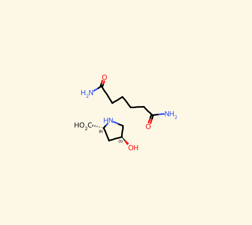 NC(=O)CCCCC(N)=O.O=C(O)[C@H]1C[C@H](O)CN1